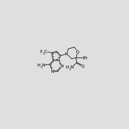 CC(C)C1(C(N)=O)CN(c2cc(C(F)(F)F)c3c(N)ncnn23)CCO1